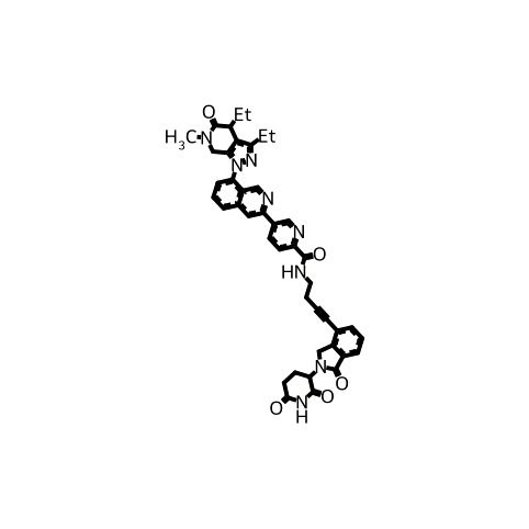 CCc1nn(-c2cccc3cc(-c4ccc(C(=O)NCCC#Cc5cccc6c5CN(C5CCC(=O)NC5=O)C6=O)nc4)ncc23)c2c1C(CC)C(=O)N(C)C2